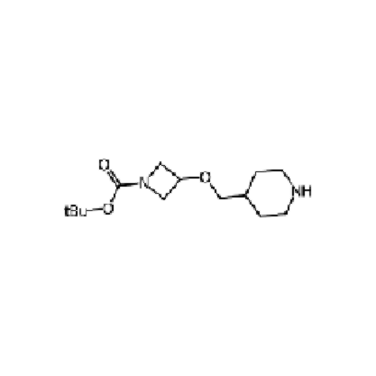 CC(C)(C)OC(=O)N1CC(OCC2CCNCC2)C1